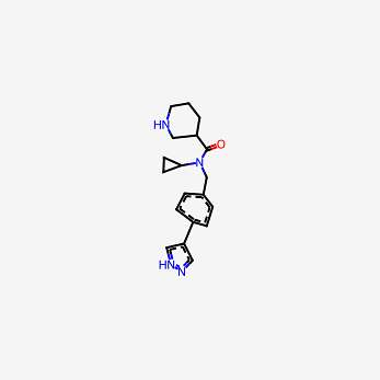 O=C(C1CCCNC1)N(Cc1ccc(-c2cn[nH]c2)cc1)C1CC1